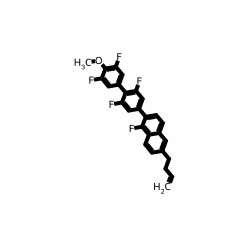 C=CCCc1ccc2c(F)c(-c3cc(F)c(-c4cc(F)c(OC)c(F)c4)c(F)c3)ccc2c1